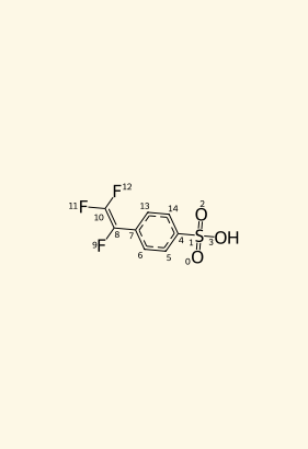 O=S(=O)(O)c1ccc(C(F)=C(F)F)cc1